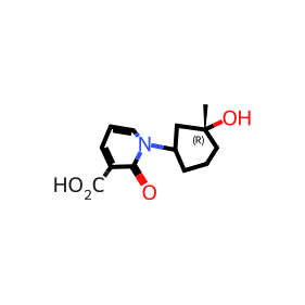 C[C@@]1(O)CCCC(n2cccc(C(=O)O)c2=O)C1